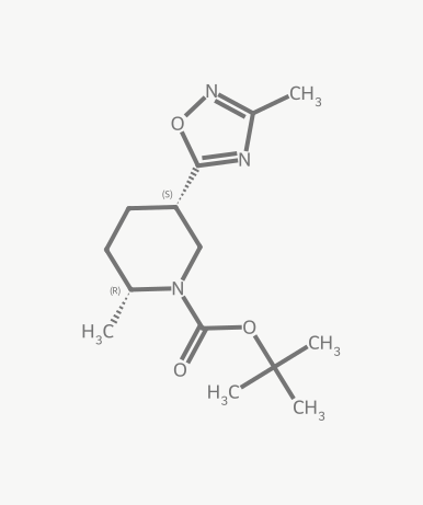 Cc1noc([C@H]2CC[C@@H](C)N(C(=O)OC(C)(C)C)C2)n1